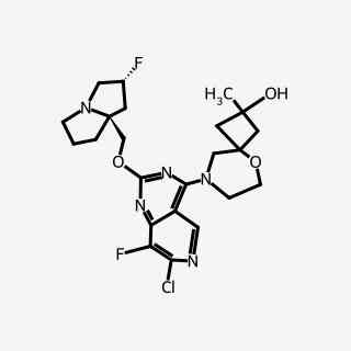 CC1(O)CC2(CN(c3nc(OC[C@@]45CCCN4C[C@H](F)C5)nc4c(F)c(Cl)ncc34)CCO2)C1